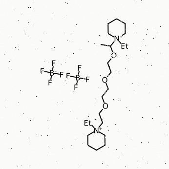 CC[N+]1(CCOCCOCCOC(C)[N+]2(CC)CCCCC2)CCCCC1.F[B-](F)(F)F.F[B-](F)(F)F